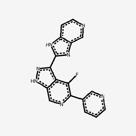 Fc1c(-c2cccnc2)ncc2[nH]nc(-c3nc4cnccc4[nH]3)c12